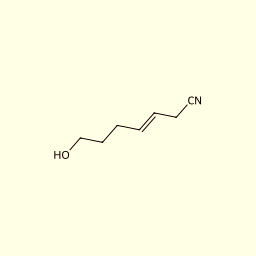 N#CCC=CCCCO